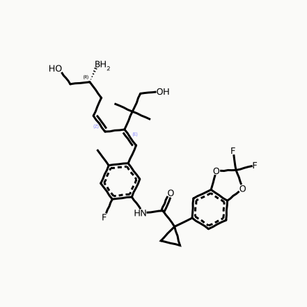 B[C@@H](CO)C/C=C\C(=C/c1cc(NC(=O)C2(c3ccc4c(c3)OC(F)(F)O4)CC2)c(F)cc1C)C(C)(C)CO